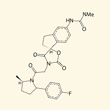 CNC(=O)Nc1ccc2c(c1)CC[C@@]21OC(=O)N(CC(=O)N2C(c3ccc(F)cc3)CC[C@H]2C)C1=O